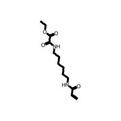 C=CC(=O)NCCCCCCNC(=O)C(=O)OCC